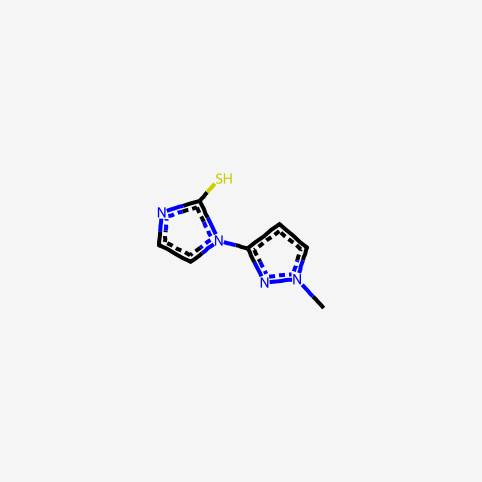 Cn1ccc(-n2ccnc2S)n1